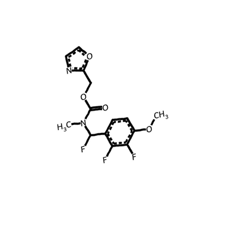 COc1ccc(C(F)N(C)C(=O)OCc2ncco2)c(F)c1F